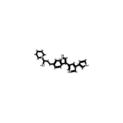 ClC(CCc1ccc2c(-c3cncc(-c4ccsc4)c3)c[nH]c2c1)N1CCCCC1